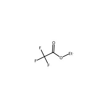 C[CH]OC(=O)C(F)(F)F